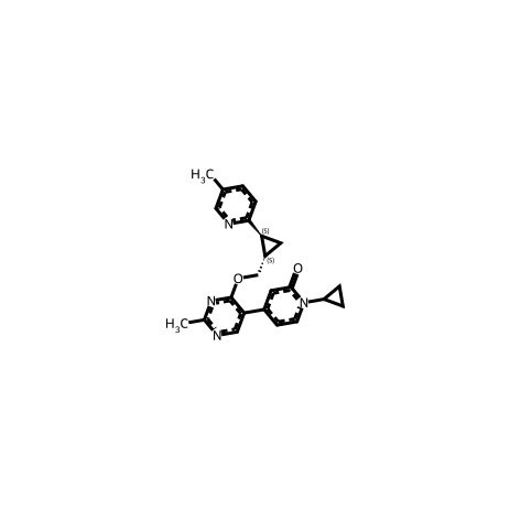 Cc1ccc([C@H]2C[C@@H]2COc2nc(C)ncc2-c2ccn(C3CC3)c(=O)c2)nc1